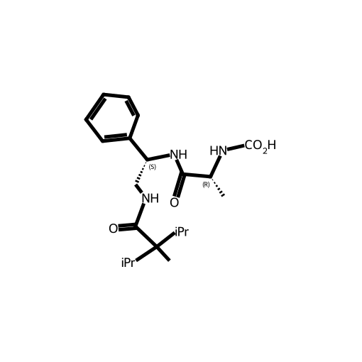 CC(C)C(C)(C(=O)NC[C@@H](NC(=O)[C@@H](C)NC(=O)O)c1ccccc1)C(C)C